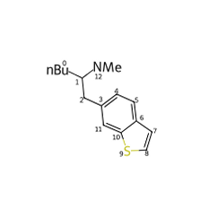 CCCCC(Cc1ccc2ccsc2c1)NC